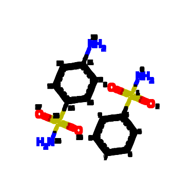 NS(=O)(=O)c1ccccc1.Nc1ccc(S(N)(=O)=O)cc1